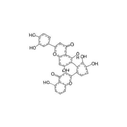 O=c1cc(-c2ccc(O)c(O)c2-c2c(O)cc3oc(-c4ccc(O)c(O)c4)cc(=O)c3c2O)oc2cccc(O)c12